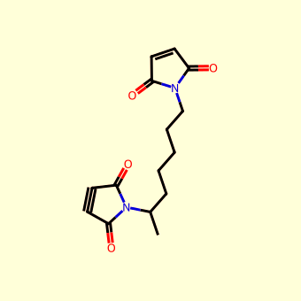 CC(CCCCCN1C(=O)C=CC1=O)N1C(=O)C#CC1=O